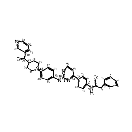 O=C(Cc1ccccc1)Nc1ccc(-c2ccnc(Nc3ccc(N4CCC(C(=O)c5cccnc5)CC4)cc3)n2)cc1